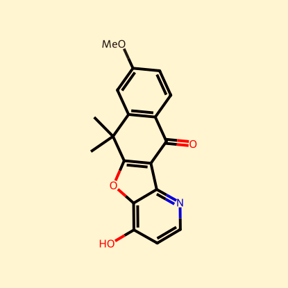 COc1ccc2c(c1)C(C)(C)c1oc3c(O)ccnc3c1C2=O